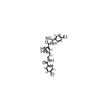 CCc1ccc(C(C#N)NC(=O)C2=CN(CCNC(=O)c3ccc(Cl)cn3)NN2)cc1